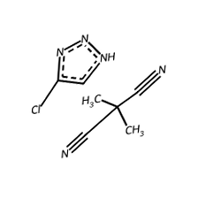 CC(C)(C#N)C#N.Clc1c[nH]nn1